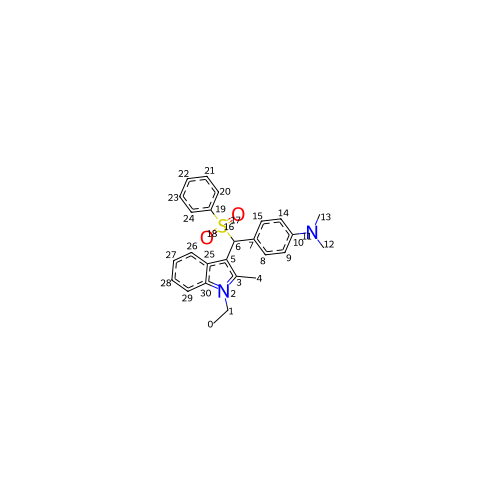 CCn1c(C)c(C(c2ccc(N(C)C)cc2)S(=O)(=O)c2ccccc2)c2ccccc21